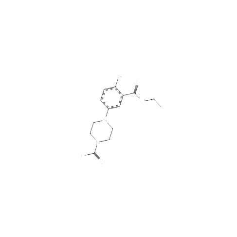 CCOC(=O)c1cc(N2CCN(C(=O)O)CC2)ccc1Br